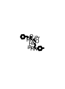 Cc1ccc(N[C@H](CNC(=O)[C@@H](NC(=O)OCc2ccccc2)C(C)C)C(C)C)cc1